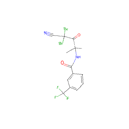 CC(C)(NC(=O)c1cccc(C(F)(F)F)c1)C(=O)C(Br)(Br)C#N